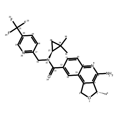 C[C@@H]1OCc2c1c(N)nc1ccc(C(=O)N(Cc3ccc(C(F)(F)F)cn3)[C@H]3CC3(C)C)cc21